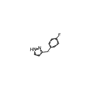 Fc1ccc([CH]c2cc[nH]n2)cc1